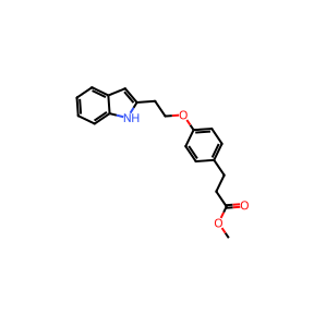 COC(=O)CCc1ccc(OCCc2cc3ccccc3[nH]2)cc1